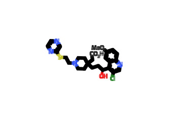 COc1ccc2ncc(Cl)c([C@@H](O)CCC3(CC(=O)O)CCN(CCSc4cnccn4)CC3)c2c1